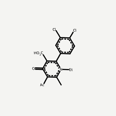 CCn1c(C)c(C(C)=O)c(=O)c(C(=O)O)c1-c1ccc(Cl)c(Cl)c1